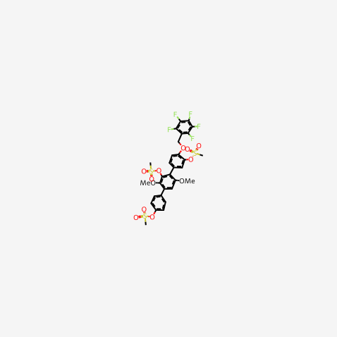 COc1cc(-c2ccc(OS(C)(=O)=O)cc2)c(OC)c(OS(C)(=O)=O)c1-c1ccc(OCc2c(F)c(F)c(F)c(F)c2F)c(OS(C)(=O)=O)c1